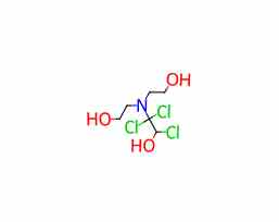 OCCN(CCO)C(Cl)(Cl)C(O)Cl